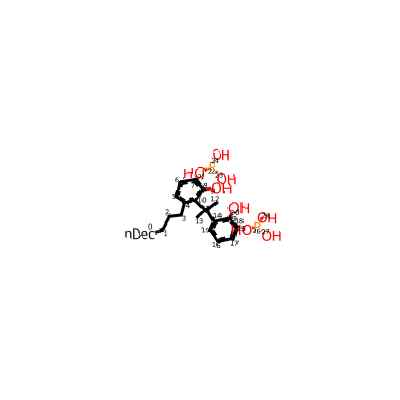 CCCCCCCCCCCCCc1cccc(O)c1C(C)(C)c1ccccc1O.OP(O)O.OP(O)O